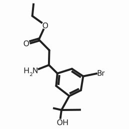 CCOC(=O)CC(N)c1cc(Br)cc(C(C)(C)O)c1